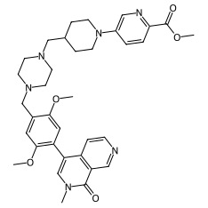 COC(=O)c1ccc(N2CCC(CN3CCN(Cc4cc(OC)c(-c5cn(C)c(=O)c6cnccc56)cc4OC)CC3)CC2)cn1